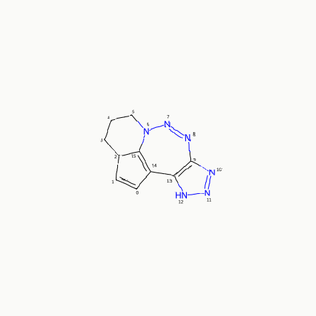 C1=CC2CCCN3N=Nc4nn[nH]c4C1=C23